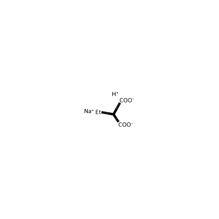 CCC(C(=O)[O-])C(=O)[O-].[H+].[Na+]